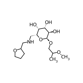 COC(C)CO[C@H]1O[C@H](CNCC2CCCO2)[C@H](O)[C@H](O)[C@H]1O